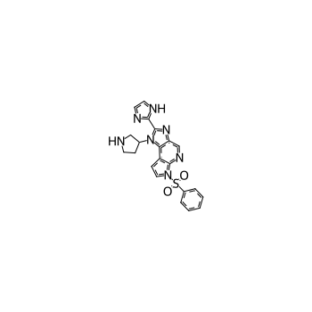 O=S(=O)(c1ccccc1)n1ccc2c1ncc1nc(-c3ncc[nH]3)n(C3CCNC3)c12